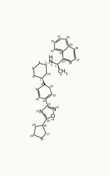 C[C@@H](N[C@H]1CCC[C@H](C2C=CC(c3noc(C4CCCC4)n3)=CC2)C1)c1cccc2ccccc12